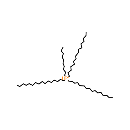 CCCCCCCCCCCCCCCC[PH](CCCCCCCCCC)(CCCCCCCCCCCCCCCC)CCCCCCCCCCCCCCCC